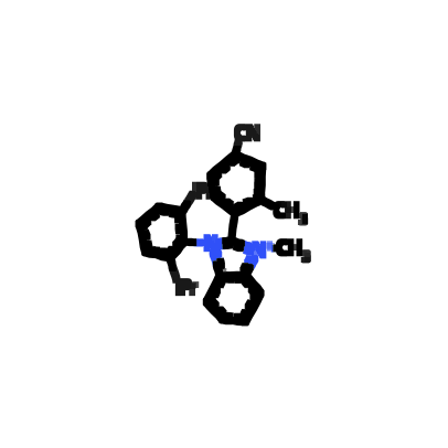 Cc1cc(C#N)ccc1-c1n(-c2c(C(C)C)cccc2C(C)C)c2ccccc2[n+]1C